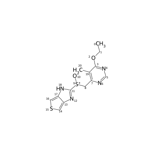 CCOc1ncnc(C[S+]([O-])c2nc3cscc3[nH]2)c1C